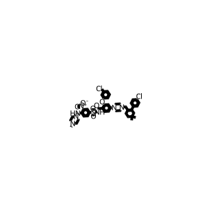 CN1CCN(Nc2ccc(S(=O)(=O)NC(=O)c3ccc(N4CCN(CC5=C(c6ccc(Cl)cc6)CC(C)(C)CC5)CC4)cc3Oc3cccc(Cl)c3)cc2[N+](=O)[O-])CC1